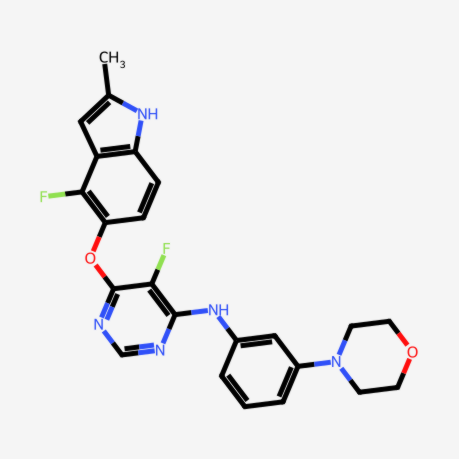 Cc1cc2c(F)c(Oc3ncnc(Nc4cccc(N5CCOCC5)c4)c3F)ccc2[nH]1